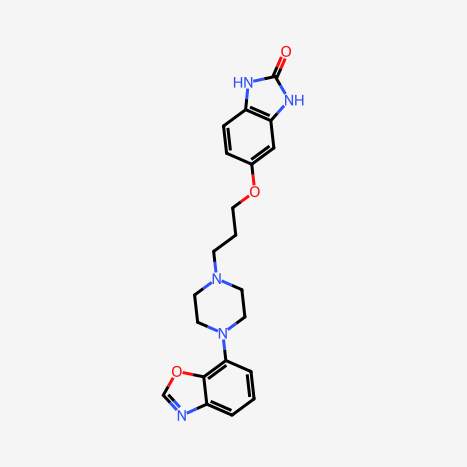 O=c1[nH]c2ccc(OCCCN3CCN(c4cccc5ncoc45)CC3)cc2[nH]1